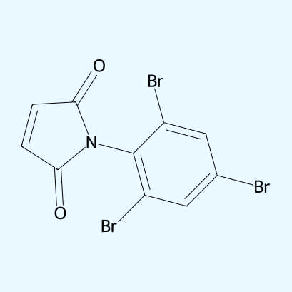 O=C1C=CC(=O)N1c1c(Br)cc(Br)cc1Br